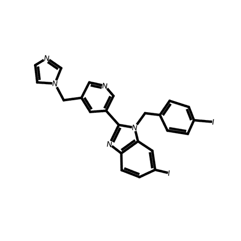 Ic1ccc(Cn2c(-c3cncc(Cn4ccnc4)c3)nc3ccc(I)cc32)cc1